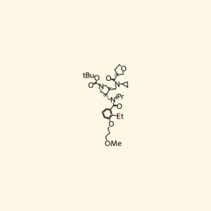 CCc1c(OCCCOC)cccc1C(=O)N(C[C@@H]1CN(C(=O)OC(C)(C)C)C[C@H]1CN(C(=O)[C@H]1CCOC1)C1CC1)C(C)C